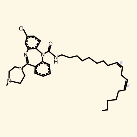 CCCCC/C=C\C/C=C\CCCCCCCCNC(=O)N1c2ccc(Cl)cc2N=C(N2CCN(C)CC2)c2ccccc21